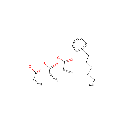 C=CC(=O)[O-].C=CC(=O)[O-].C=CC(=O)[O-].[Sn+3][CH2]CCCCc1ccccc1